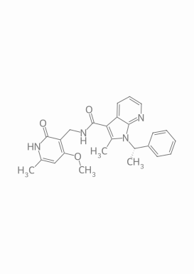 COc1cc(C)[nH]c(=O)c1CNC(=O)c1c(C)n([C@@H](C)c2ccccc2)c2ncccc12